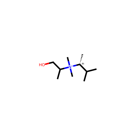 CC(C)[C@@H](C)[N+](C)(C)C(C)CO